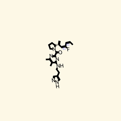 C=C(/C=C(F)\C=C/C)[C@H]1CCCN1C(=O)c1nc(C)c(C)c(NCCc2cn[nH]c2)n1